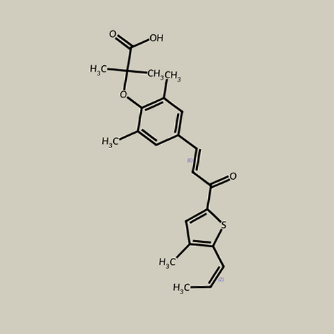 C/C=C\c1sc(C(=O)/C=C/c2cc(C)c(OC(C)(C)C(=O)O)c(C)c2)cc1C